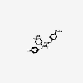 CC(C)COc1ccc(CNC(=O)N(Cc2ccc(F)cc2)C2CCC(C)(N)CC2)cc1